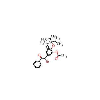 CC(=O)Oc1cc(C(Br)C(=O)c2ccccc2)ccc1O[Si](C(C)C)(C(C)C)C(C)C